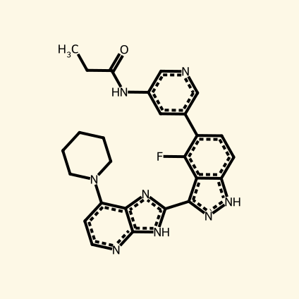 CCC(=O)Nc1cncc(-c2ccc3[nH]nc(-c4nc5c(N6CCCCC6)ccnc5[nH]4)c3c2F)c1